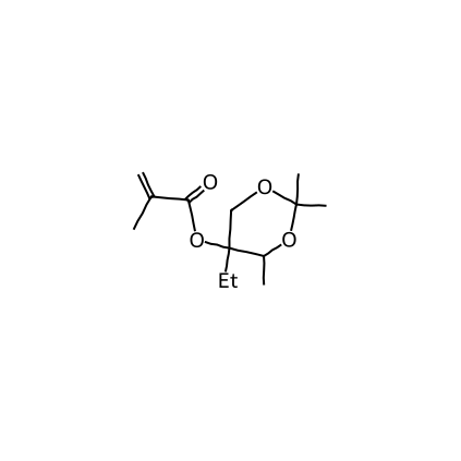 C=C(C)C(=O)OC1(CC)COC(C)(C)OC1C